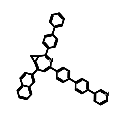 C1=C(c2ccc(-c3ccc(-c4cccnc4)cc3)cc2)N=C(c2ccc(-c3ccccc3)cc2)C2CC2=C1c1ccc2ccccc2c1